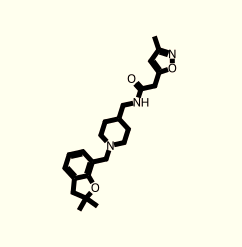 Cc1cc(CC(=O)NCC2CCN(Cc3cccc4c3OC(C)(C)C4)CC2)on1